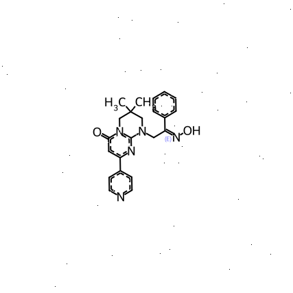 CC1(C)CN(C/C(=N/O)c2ccccc2)c2nc(-c3ccncc3)cc(=O)n2C1